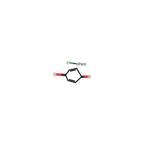 CCCCCCl.O=C1C=CC(=O)C=C1